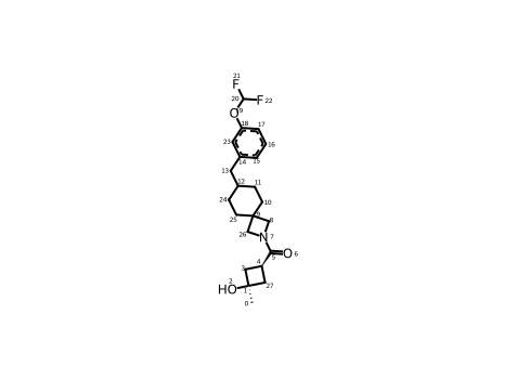 C[C@]1(O)C[C@@H](C(=O)N2CC3(CCC(Cc4cccc(OC(F)F)c4)CC3)C2)C1